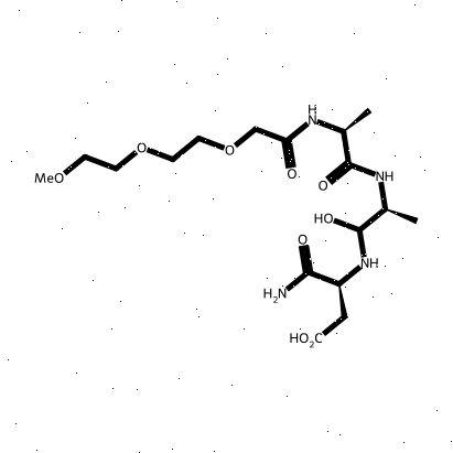 COCCOCCOCC(=O)N[C@@H](C)C(=O)N[C@@H](C)C(O)N[C@@H](CC(=O)O)C(N)=O